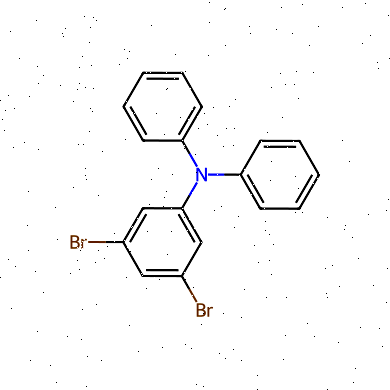 Brc1cc(Br)cc(N(c2ccccc2)c2ccccc2)c1